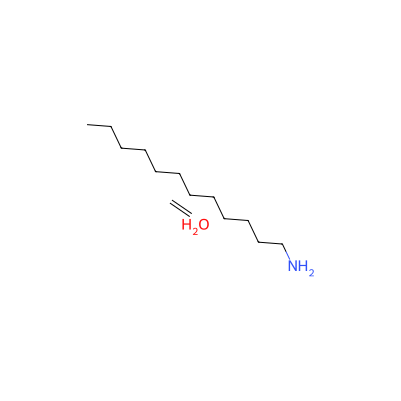 C=C.CCCCCCCCCCCCN.O